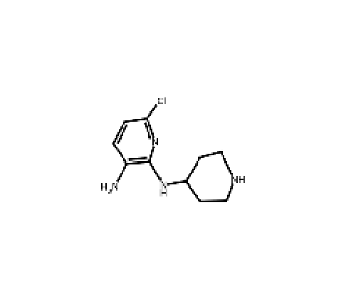 Nc1ccc(Cl)nc1NC1CCNCC1